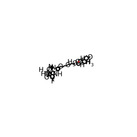 Cn1ncnc1[C@H]1c2n[nH]c(=O)c3cc(F)cc(c23)N[C@@H]1c1ccc(OCCCOCCCO[C@H]2CC[C@H]3[C@@H]4CC[C@H]5CC(=O)CC[C@]5(C)[C@H]4CC[C@]23C)cc1